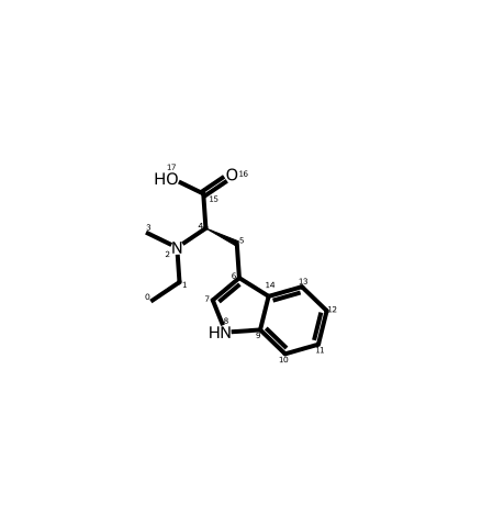 CCN(C)[C@H](Cc1c[nH]c2ccccc12)C(=O)O